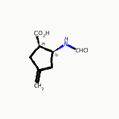 C=C1C[C@H](NC=O)[C@H](C(=O)O)C1